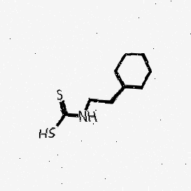 S=C(S)NCCC1CCCCC1